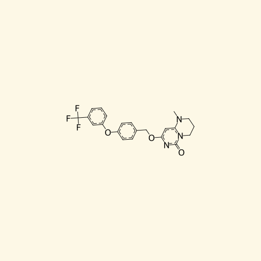 CN1CCCn2c1cc(OCc1ccc(Oc3cccc(C(F)(F)F)c3)cc1)nc2=O